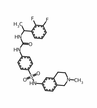 CC(NC(=O)Nc1ccc(S(=O)(=O)Nc2ccc3c(c2)CCN(C)C3)cc1)c1cccc(F)c1F